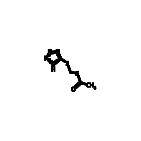 CC(=O)SCSc1nnn[nH]1